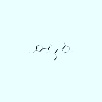 C=C/C(=C\C1=C(C)CNN1)NC(=N)c1cc(C(C)=O)cs1